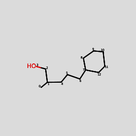 CC(CO)CCCC1CCCCC1